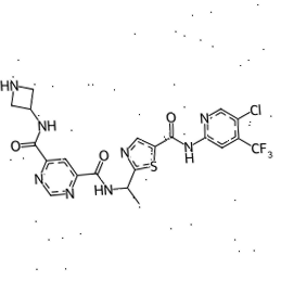 CC(NC(=O)c1cc(C(=O)NC2CNC2)ncn1)c1ncc(C(=O)Nc2cc(C(F)(F)F)c(Cl)cn2)s1